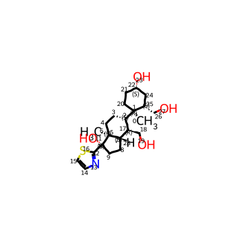 C[C@]1([C@H]2CC[C@@]3(C)[C@@H](CC[C@@]3(O)c3nccs3)[C@@H]2CO)CC[C@H](O)C[C@@H]1CO